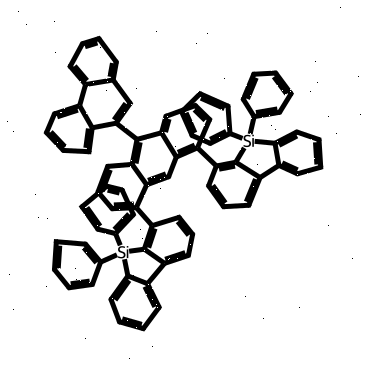 c1ccc([Si]2(c3ccccc3)c3ccccc3-c3cccc(-c4cccc5c(-c6cc7ccccc7c7ccccc67)c6cccc(-c7cccc8c7[Si](c7ccccc7)(c7ccccc7)c7ccccc7-8)c6cc45)c32)cc1